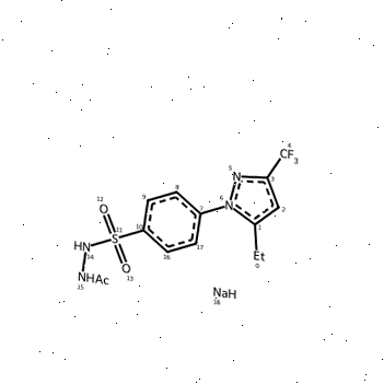 CCc1cc(C(F)(F)F)nn1-c1ccc(S(=O)(=O)NNC(C)=O)cc1.[NaH]